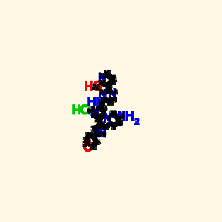 Cl.N[C@H]1CCCN(c2cc(Nc3ccnc(-c4cccnc4O)n3)ncc2-c2cnn(C3CCOCC3)c2)C1